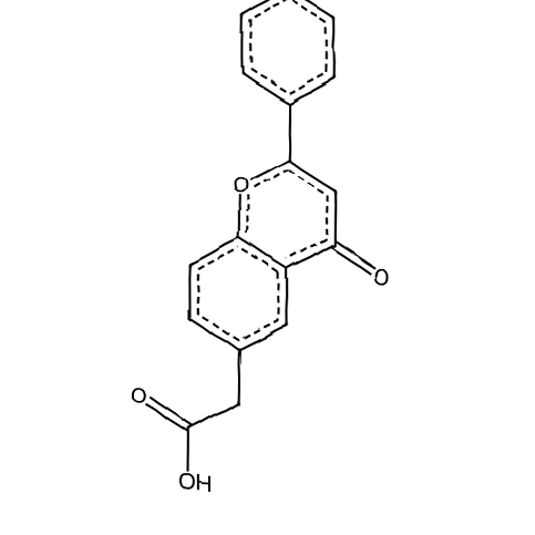 O=C(O)Cc1ccc2oc(-c3ccccc3)cc(=O)c2c1